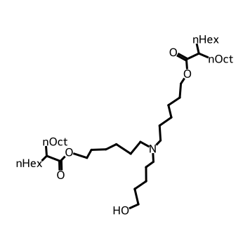 CCCCCCCCC(CCCCCC)C(=O)OCCCCCCN(CCCCCO)CCCCCCOC(=O)C(CCCCCC)CCCCCCCC